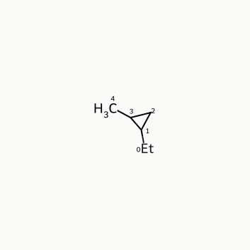 [CH2]CC1CC1C